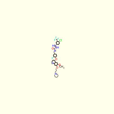 COc1cc2c(Oc3ccc(/C=N/C(=O)NNc4ccc(Cl)c(C(F)(F)F)c4)cc3F)ccnc2cc1OCCCN1CCCCC1